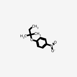 CCC(C)(C)Oc1ccc([N+](=O)[O-])cc1